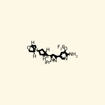 CC(C)n1nc(-c2cnc(N)c(OC(F)(F)F)c2)cc1[C@H]1[C@@H]2CC(N3C[C@@H]4C[C@H]3CO4)C[C@@H]21